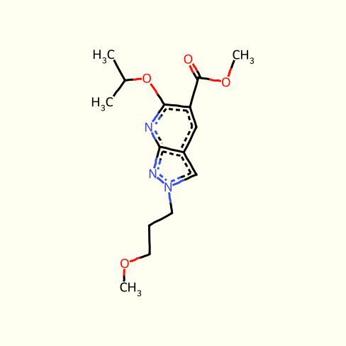 COCCCn1cc2cc(C(=O)OC)c(OC(C)C)nc2n1